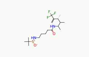 C=C([C@H](C)C(C)C(C)NC(=O)CCCCN[S+]([O-])C(C)(C)C)C(F)(F)F